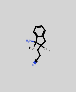 CC1(CCC#N)Cc2ccccc2C1(C)N